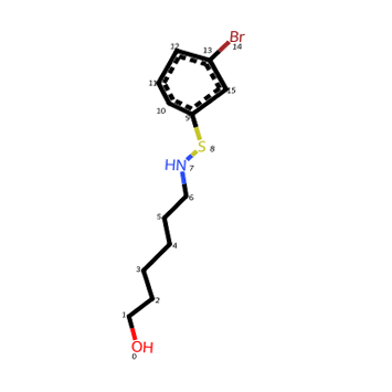 OCCCCCCNSc1cccc(Br)c1